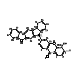 Cc1ccc2c(=O)c3ccc(-n4c5ccccc5c5cc6c(cc54)oc4ccccc46)cc3oc2c1C